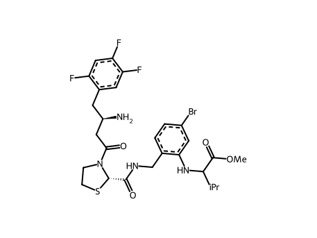 COC(=O)C(Nc1cc(Br)ccc1CNC(=O)[C@@H]1SCCN1C(=O)C[C@H](N)Cc1cc(F)c(F)cc1F)C(C)C